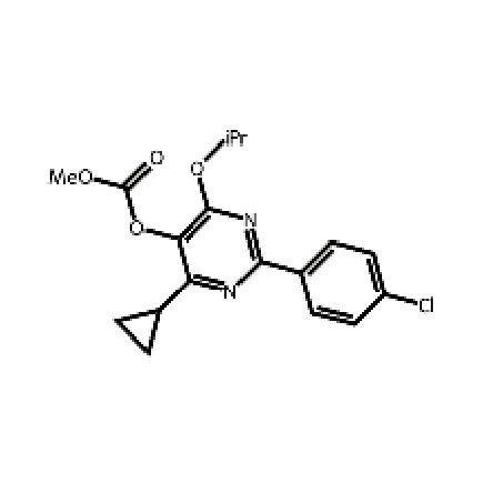 COC(=O)Oc1c(OC(C)C)nc(-c2ccc(Cl)cc2)nc1C1CC1